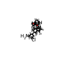 Cc1nc2c3c(nc(-c4cc(N)nc(Cl)c4)c(F)c3c1C)O[C@@H](C)[C@@H]1[C@@H]3CC[C@H](CN21)N3C(=O)OC(C)(C)C